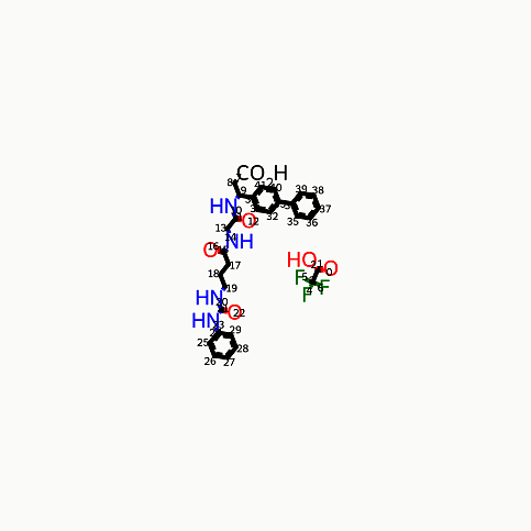 O=C(O)C(F)(F)F.O=C(O)CC(NC(=O)CNC(=O)CCCNC(=O)Nc1ccccc1)c1ccc(-c2ccccc2)cc1